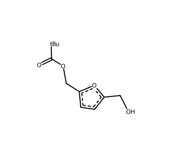 CC(C)(C)C(=O)OCc1ccc(CO)o1